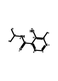 Cc1ncnc(C(=O)NC(C)C)c1O